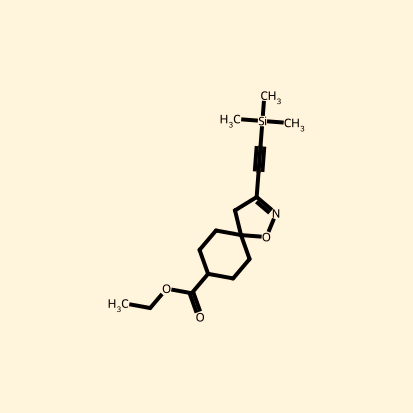 CCOC(=O)C1CCC2(CC1)CC(C#C[Si](C)(C)C)=NO2